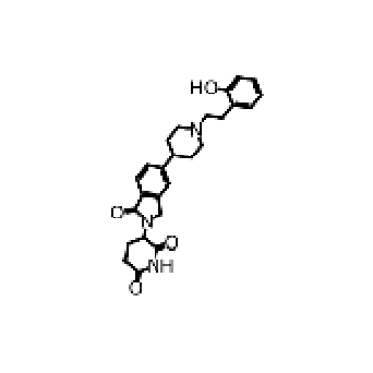 O=C1CCC(N2Cc3cc(C4CCN(CCc5ccccc5O)CC4)ccc3C2=O)C(=O)N1